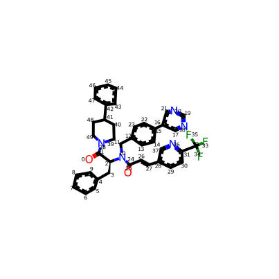 O=C([C@H](Cc1ccccc1)N(Cc1ccc(-c2cncnc2)cc1)C(=O)C=Cc1ccc(C(F)(F)F)nc1)N1CCC(c2ccccc2)CC1